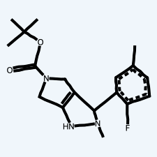 Cc1ccc(F)c(C2C3=C(CN(C(=O)OC(C)(C)C)C3)NN2C)c1